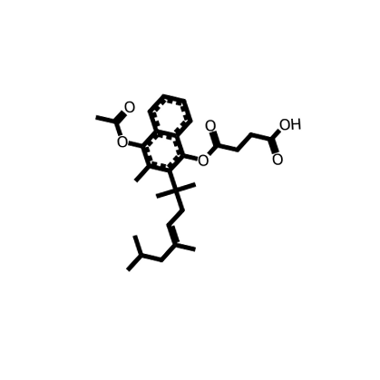 CC(=O)Oc1c(C)c(C(C)(C)C/C=C(\C)CC(C)C)c(OC(=O)CCC(=O)O)c2ccccc12